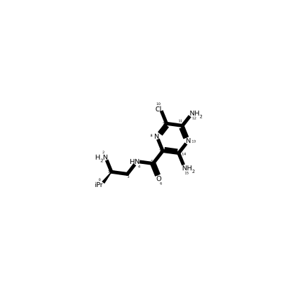 CC(C)[C@@H](N)CNC(=O)c1nc(Cl)c(N)nc1N